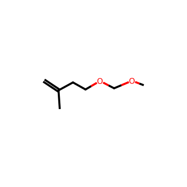 C=C(C)CCOCOC